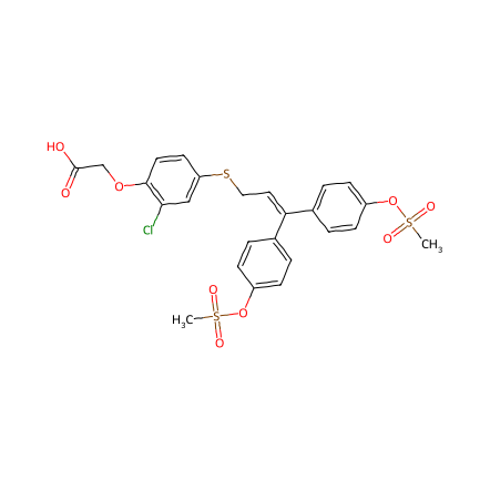 CS(=O)(=O)Oc1ccc(C(=CCSc2ccc(OCC(=O)O)c(Cl)c2)c2ccc(OS(C)(=O)=O)cc2)cc1